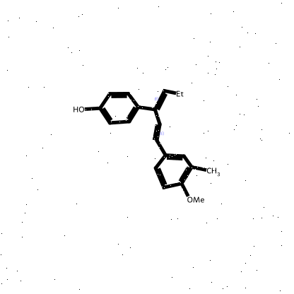 CC/C=C(\C=C\c1ccc(OC)c(C)c1)c1ccc(O)cc1